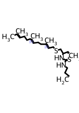 C=CCCNC(=S)NC(C=C)CSC/C=C(\C)CC/C=C(\C)CCC=C(C)C